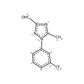 Cc1nc(C=O)nn1-c1cccc(C(F)(F)F)c1